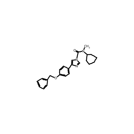 CN(C(=O)n1cnc(-c2ccc(OCc3ccccc3)cc2)c1)C1CCCCC1